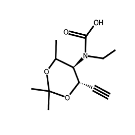 C#C[C@@H]1OC(C)(C)OC(C)[C@H]1N(CC)C(=O)O